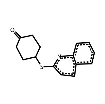 O=C1CCC(Sc2ccc3ccccc3n2)CC1